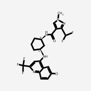 Cn1cc(C(=O)N[C@@H]2CCC[C@H](Nc3cc(C(F)(F)F)nc4ccc(Cl)cc34)C2)c(C(F)F)n1